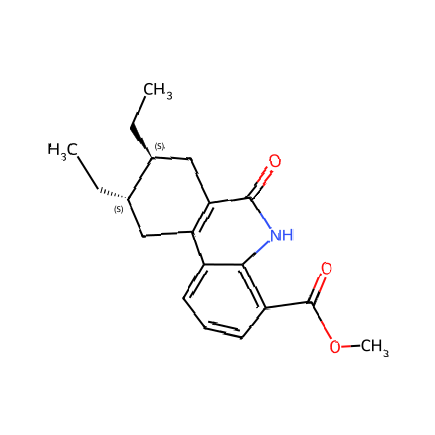 CC[C@H]1Cc2c(c3cccc(C(=O)OC)c3[nH]c2=O)C[C@@H]1CC